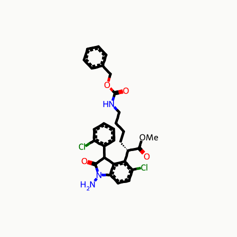 COC(=O)[C@@H](CCCCNC(=O)OCc1ccccc1)c1c(Cl)ccc2c1C(c1ccccc1Cl)C(=O)N2N